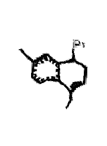 CC1=CCC(C(C)C)c2cc(C)ccc21